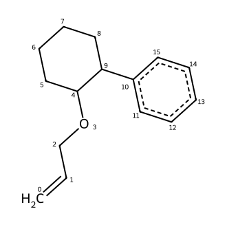 C=CCOC1CCCCC1c1ccccc1